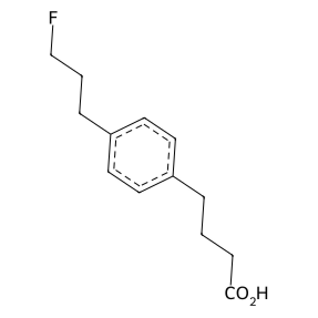 O=C(O)CCCc1ccc(CCCF)cc1